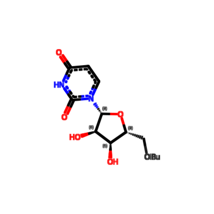 CC(C)COC[C@H]1O[C@@H](n2ccc(=O)[nH]c2=O)[C@H](O)[C@@H]1O